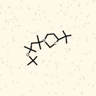 CC(C)(C)OC(C)(C)CC(C)(C)N1CCC(C(C)(C)C)CC1